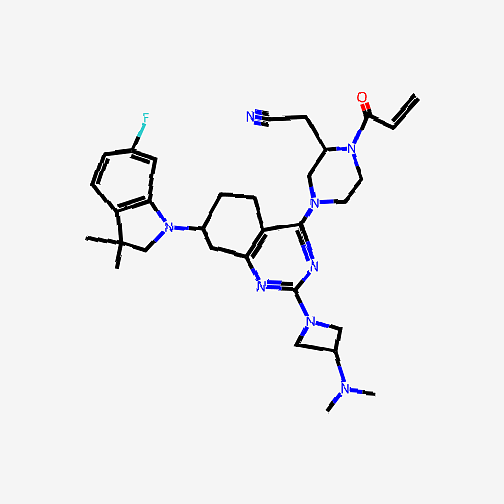 C=CC(=O)N1CCN(c2nc(N3CC(N(C)C)C3)nc3c2CCC(N2CC(C)(C)c4ccc(F)cc42)C3)CC1CC#N